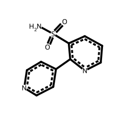 NS(=O)(=O)c1cccnc1-c1ccncc1